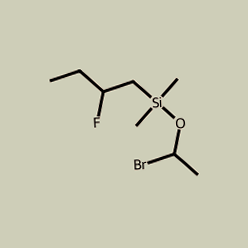 CCC(F)C[Si](C)(C)OC(C)Br